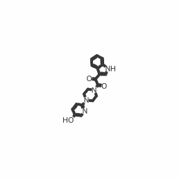 O=C(C(=O)N1CCN(c2ccc(O)cn2)CC1)c1c[nH]c2ccccc12